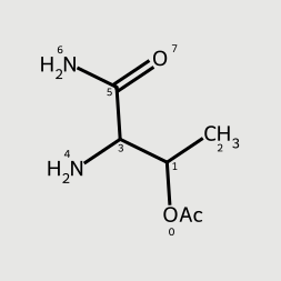 CC(=O)OC(C)C(N)C(N)=O